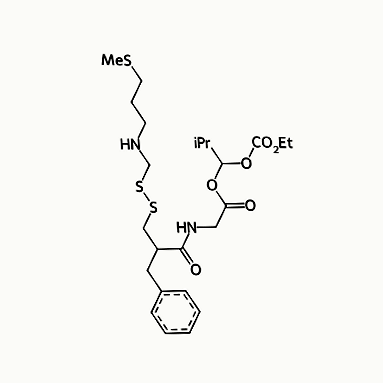 CCOC(=O)OC(OC(=O)CNC(=O)C(CSSCNCCCSC)Cc1ccccc1)C(C)C